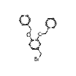 BrCc1ccc(OCc2ccccc2)c(OCc2ccccc2)c1